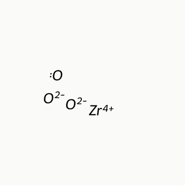 [O-2].[O-2].[O].[Zr+4]